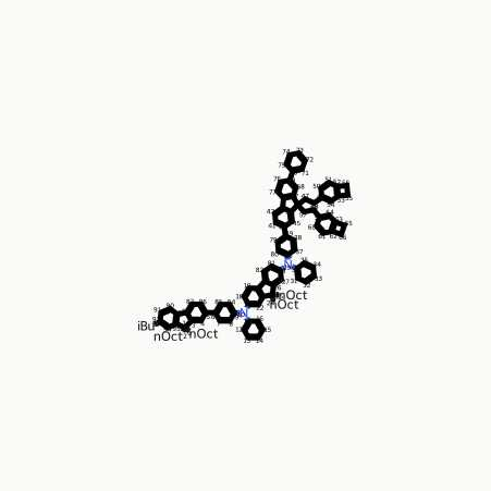 CCCCCCCCC1(CCCCCCCC)c2cc(-c3ccc(N(c4ccccc4)c4ccc5c(c4)C(CCCCCCCC)(CCCCCCCC)c4cc(N(c6ccccc6)c6ccc(-c7ccc8c(c7)C(CCc7ccc9c(c7)CC9)(CCc7ccc9c(c7)CC9)c7cc(-c9ccccc9)ccc7-8)cc6)ccc4-5)cc3)ccc2-c2ccc(C(C)CC)cc21